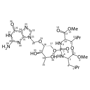 COC(=O)C(CC(C)C)NP(=O)(NC(CC(C)C)C(=O)OC)OC[C@@H](OCn1cnc2c(=O)[nH]c(N)nc21)[C@H](O)C(C)O